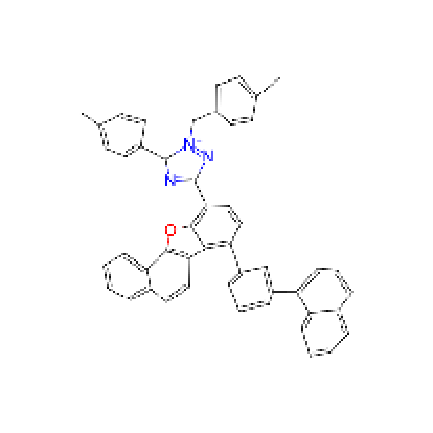 Cc1ccc(C[N+]2=NC(c3ccc(-c4cccc(-c5cccc6ccccc56)c4)c4c3oc3c5ccccc5ccc34)=NC2c2ccc(C)cc2)cc1